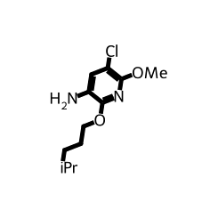 COc1nc(OCCCC(C)C)c(N)cc1Cl